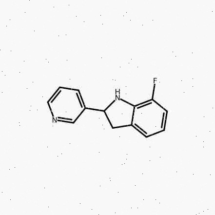 Fc1cccc2c1NC(c1cccnc1)C2